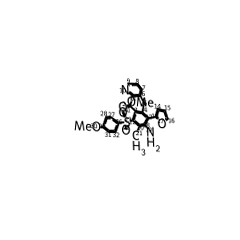 COC(=O)c1c(Cc2cccnc2)c(-c2ccco2)c(N)c(C)c1S(=O)(=O)c1ccc(OC)cc1